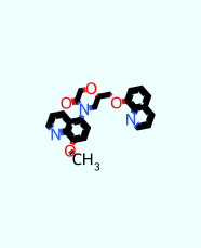 COc1ccc(N2CC(COc3cccc4cccnc34)OCC2=O)c2cccnc12